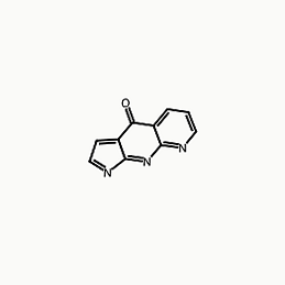 O=C1C2=CC=NC2=Nc2ncccc21